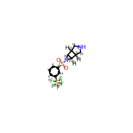 O=S(=O)(c1cccc(S(F)(F)(F)(F)F)c1)N1C2[C@@H]3CNC[C@@H]3[C@H]21